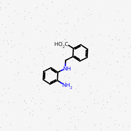 Nc1ccccc1NCc1ccccc1C(=O)O